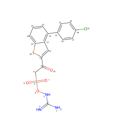 N=C(N)NOS(=O)(=O)CC(=O)c1cc2c(-c3ccc(Cl)cc3)cccc2s1